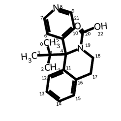 CC(C)(C)C1(c2ccncc2)c2ccccc2CCN1C(=O)O